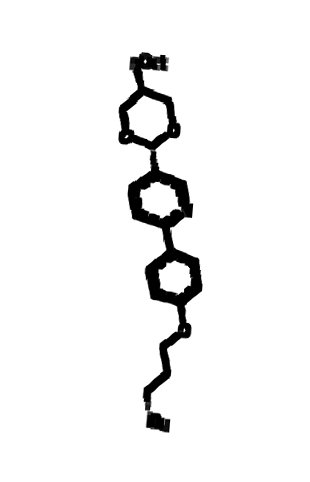 CCCCCCCC[C@H]1CO[C@H](c2ccc(-c3ccc(OCCC[C@@H](C)CC)cc3)nc2)OC1